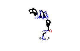 CCN(CC)CCNC(=O)c1ccc(-n2nnc3cnc(Nc4ccc5c(c4)CCC5)nc32)cc1